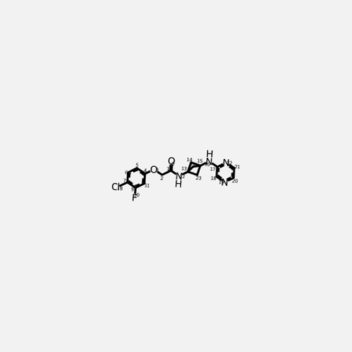 O=C(COc1ccc(Cl)c(F)c1)NC12CC(Nc3cnccn3)(C1)C2